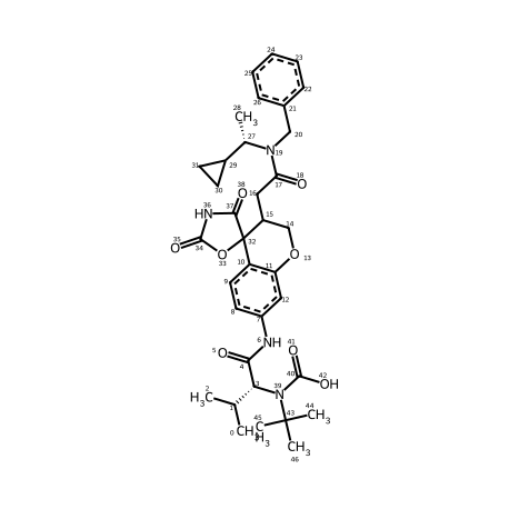 CC(C)[C@H](C(=O)Nc1ccc2c(c1)OCC(CC(=O)N(Cc1ccccc1)[C@@H](C)C1CC1)C21OC(=O)NC1=O)N(C(=O)O)C(C)(C)C